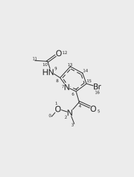 CON(C)C(=O)c1nc(NC(C)=O)ccc1Br